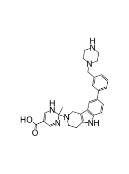 CC1(N2CCc3[nH]c4ccc(-c5cccc(CN6CCNCC6)c5)cc4c3C2)N=CC(C(=O)O)=CN1